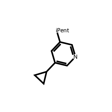 CCCC(C)c1cncc(C2CC2)c1